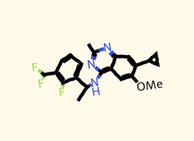 COc1cc2c(NC(C)c3cccc(C(F)F)c3F)nc(C)nc2cc1C1CC1